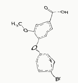 COc1cc(C(=O)O)ccc1Oc1ccc(Br)cc1